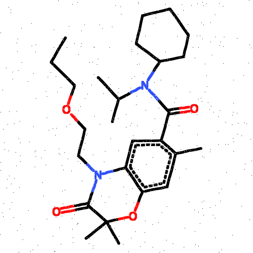 CCCOCCN1C(=O)C(C)(C)Oc2cc(C)c(C(=O)N(C(C)C)C3CCCCC3)cc21